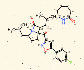 CC(C)C[C@@H]1CCC2(C(=O)c3cc(-c4ccc(F)cc4)on3)[C@H](CC(C)C)C(=O)N12.O=C1CCCCCN1